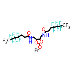 CC(C)OC1OC(CNC(=O)CCC(F)(F)C(F)(F)C(F)(F)C(F)(F)F)C(CNC(=O)CCC(F)(F)C(F)(F)C(F)(F)C(F)(F)F)O1